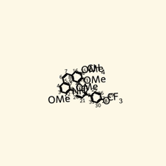 C.COc1ccc(/C=C\c2cc(OC)c(OC)c(OC)c2)cc1N/C=C\C(=O)c1ccc(OC(F)(F)F)cc1